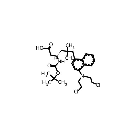 CC(C)(Cc1ccc(N(CCCl)CCCl)c2ccccc12)C[C@@H](CC(=O)O)NC(=O)OC(C)(C)C